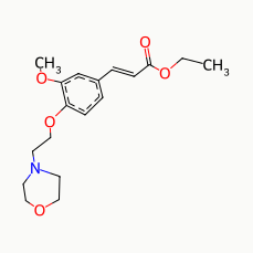 CCOC(=O)C=Cc1ccc(OCCN2CCOCC2)c(OC)c1